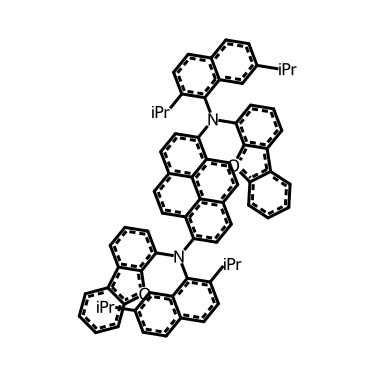 CC(C)c1ccc2ccc(C(C)C)c(N(c3ccc4ccc5c(N(c6c(C(C)C)ccc7ccc(C(C)C)cc67)c6cccc7c6oc6ccccc67)ccc6ccc3c4c65)c3cccc4c3oc3ccccc34)c2c1